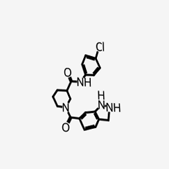 O=C(Nc1ccc(Cl)cc1)C1CCCN(C(=O)c2ccc3c(c2)NNC3)C1